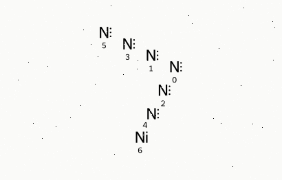 [N].[N].[N].[N].[N].[N].[Ni]